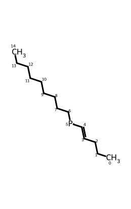 CCCC=C[P]CCCCCCCCC